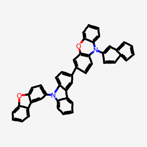 c1ccc2c(c1)Oc1cc(-c3ccc4c(c3)c3ccccc3n4-c3ccc4oc5ccccc5c4c3)ccc1N2c1ccc2ccccc2c1